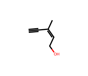 C#CC(C)=CCO